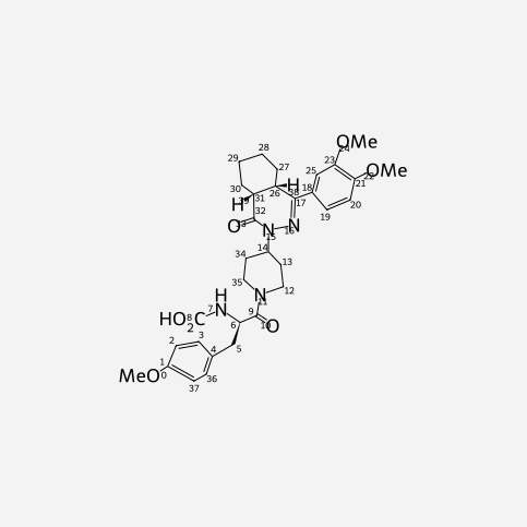 COc1ccc(C[C@@H](NC(=O)O)C(=O)N2CCC(N3N=C(c4ccc(OC)c(OC)c4)[C@H]4CCCC[C@H]4C3=O)CC2)cc1